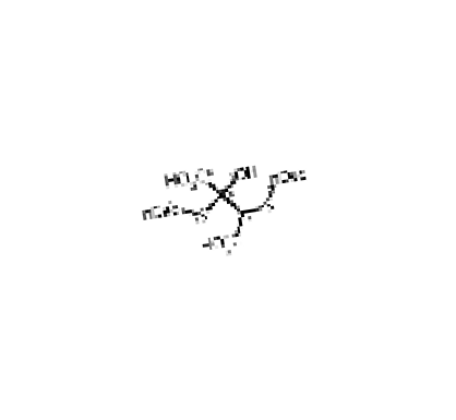 CCCCCCCCCCSC(C(=O)O)C(O)(SCCCCCCCCCC)C(=O)O